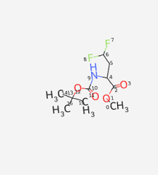 COC(=O)C(CC(F)F)NC(=O)OC(C)(C)C